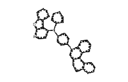 c1ccc(N(c2ccc(-c3cc4ccc5ccccc5c4c4ccccc34)cc2)c2ccnc3oc4ccccc4c23)cc1